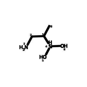 CC(CN)[SiH](O)O